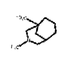 CN1CC2CCCC(C(=O)O)(C2)C1